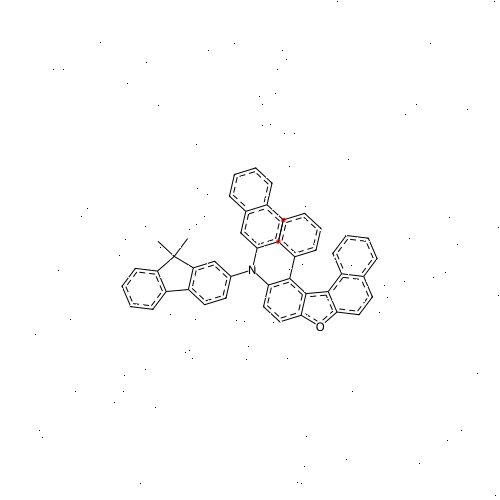 CC1(C)c2ccccc2-c2ccc(N(c3ccc4ccccc4c3)c3ccc4oc5ccc6ccccc6c5c4c3-c3ccccc3)cc21